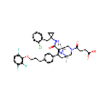 O=C(O)CCC(=O)N1C[C@H]2CC(c3ccc(CCCOc4c(F)ccc(F)c4F)cc3)=C(C(=O)NC3(Cc4ccccc4Cl)CC3)[C@@H](C1)N2